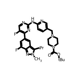 CC(C)c1c2cc(-c3nc(Nc4ccc(CN5CCN(C(=O)OC(C)(C)C)CC5)cn4)ncc3F)cc(F)c2nn1C